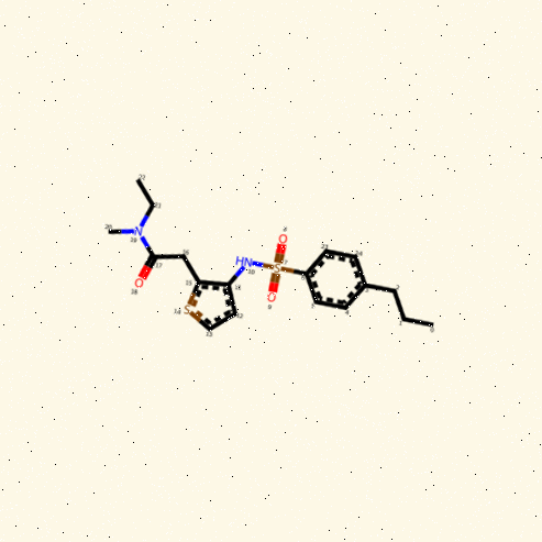 CCCc1ccc(S(=O)(=O)Nc2ccsc2CC(=O)N(C)CC)cc1